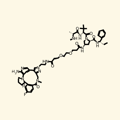 CC[C@H](NC(=O)[C@H]1C[C@@H](NC(=O)CCOCCOCCC(=O)NCCn2cc3c(n2)CN(C)C(=O)c2ccc(F)cc2[C@H]2CCCN2c2cc-3cnc2N)CN1C(=O)[C@H](NC(=O)[C@@H](C)NC)C(C)(C)C)c1ccccc1